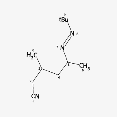 CC(CC#N)CC(C)N=NC(C)(C)C